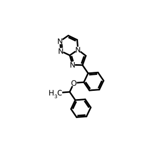 CC(Oc1ccccc1-c1cn2ccnnc2n1)c1ccccc1